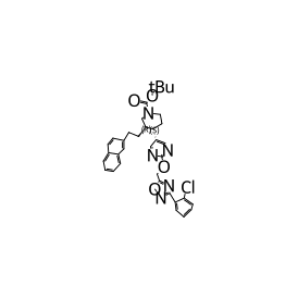 CC(C)(C)OC(=O)N1CC[C@H](c2cnc(OCc3nc(-c4ccccc4Cl)no3)nc2)[C@@H](CCc2ccc3ccccc3c2)C1